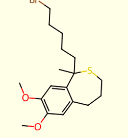 COc1cc2c(cc1OC)C(C)(CCCCCBr)SCCC2